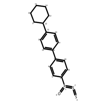 O=P(=S=S)c1ccc(-c2ccc(C3CCCCC3)cc2)cc1